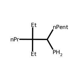 CCCCCC(P)C(CC)(CC)CCC